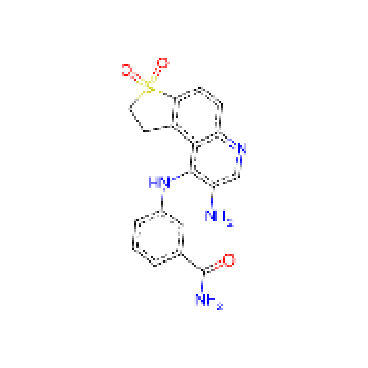 NC(=O)c1cccc(Nc2c(N)cnc3ccc4c(c23)CCS4(=O)=O)c1